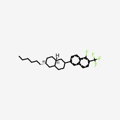 CCCCCC[C@@H]1CC[C@@H]2CC(c3ccc4c(F)c(C(F)(F)F)ccc4c3)CCC2C1